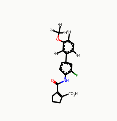 [2H]c1cc([2H])c(-c2ccc(NC(=O)C3=C(C(=O)O)CCC3)c(F)c2)c([2H])c1OC([2H])([2H])[2H]